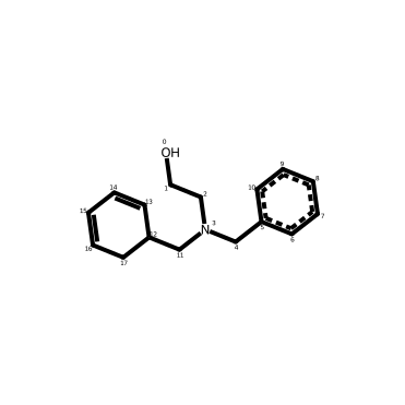 OCCN(Cc1ccccc1)CC1C=CC=CC1